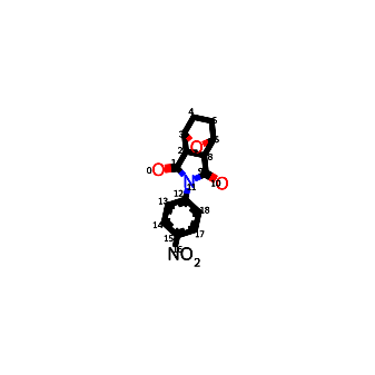 O=C1C2C3CCC(O3)C2C(=O)N1c1ccc([N+](=O)[O-])cc1